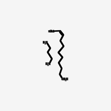 CCCCCCCC/C=C\CCCCCCCC(=O)O.NCCCN